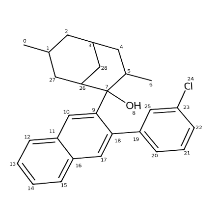 CC1CC2CC(C)C(O)(c3cc4ccccc4cc3-c3cccc(Cl)c3)C(C1)C2